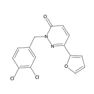 O=c1ccc(-c2ccco2)nn1Cc1ccc(Cl)c(Cl)c1